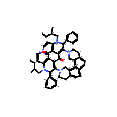 CCC(C)CN1c2ccncc2C(C(=O)C2=C(N3CCc4ccccc4C3)C(c3ccccc3)N(CC(C)CC)c3ccncc32)=C(N2CCc3ccccc3C2)C1c1ccccc1